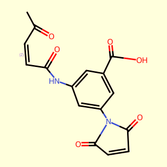 CC(=O)/C=C\C(=O)Nc1cc(C(=O)O)cc(N2C(=O)C=CC2=O)c1